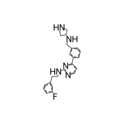 Fc1cccc(CCNc2nccc(-c3cccc(CNC4CCNC4)c3)n2)c1